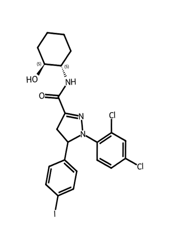 O=C(N[C@H]1CCCC[C@@H]1O)C1=NN(c2ccc(Cl)cc2Cl)C(c2ccc(I)cc2)C1